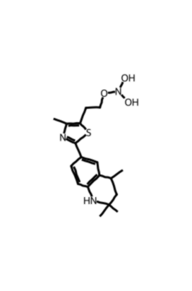 Cc1nc(-c2ccc3c(c2)C(C)CC(C)(C)N3)sc1CCON(O)O